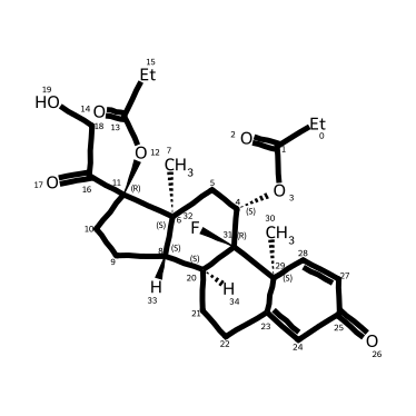 CCC(=O)O[C@H]1C[C@@]2(C)[C@@H](CC[C@]2(OC(=O)CC)C(=O)CO)[C@@H]2CCC3=CC(=O)C=C[C@]3(C)[C@@]12F